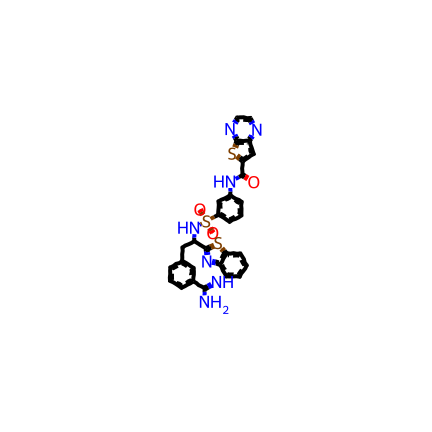 N=C(N)c1cccc(CC(NS(=O)(=O)c2cccc(NC(=O)c3cc4nccnc4s3)c2)c2nc3ccccc3s2)c1